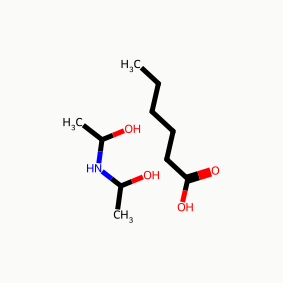 CC(O)NC(C)O.CCCCCC(=O)O